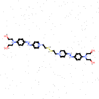 OCCN(CCO)c1ccc(/N=N/C2=CCN(CCSSCC[n+]3ccc(/N=N/c4ccc(N(CCO)CCO)cc4)cc3)C=C2)cc1